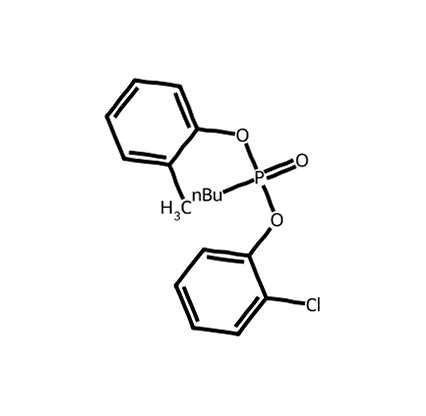 CCCCP(=O)(Oc1ccccc1C)Oc1ccccc1Cl